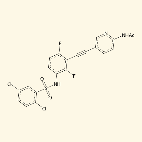 CC(=O)Nc1ccc(C#Cc2c(F)ccc(NS(=O)(=O)c3cc(Cl)ccc3Cl)c2F)cn1